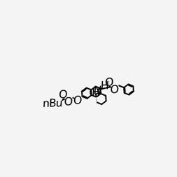 CCCCC(=O)OCOc1ccc2c(c1)[C@]13CCCC[C@@H]1[C@H](C2)N(C(=O)OCc1ccccc1)CC3